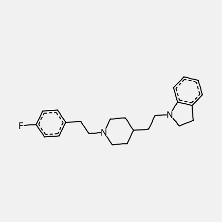 Fc1ccc(CCN2CCC(CCN3CCc4ccccc43)CC2)cc1